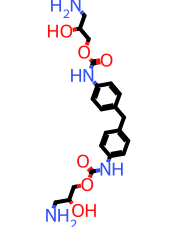 NCC(O)COC(=O)Nc1ccc(Cc2ccc(NC(=O)OCC(O)CN)cc2)cc1